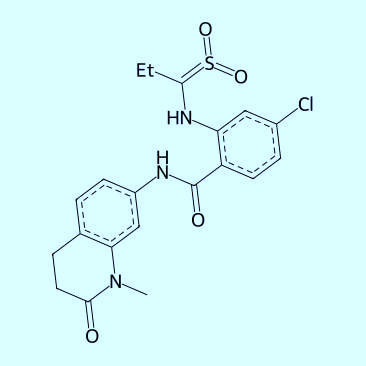 CCC(Nc1cc(Cl)ccc1C(=O)Nc1ccc2c(c1)N(C)C(=O)CC2)=S(=O)=O